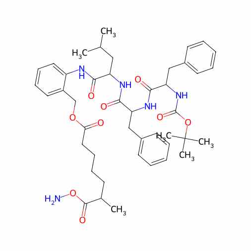 CC(C)CC(NC(=O)C(Cc1ccccc1)NC(=O)C(Cc1ccccc1)NC(=O)OC(C)(C)C)C(=O)Nc1ccccc1COC(=O)CCCCC(C)C(=O)ON